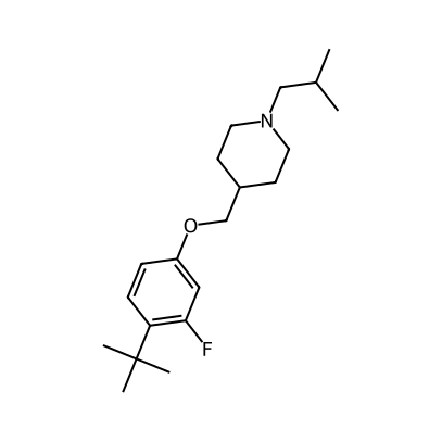 CC(C)CN1CCC(COc2ccc(C(C)(C)C)c(F)c2)CC1